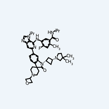 Cc1cc(F)c(Nc2nc(-c3ccc4c(c3)N([C@H]3C[C@@H](N5CCC(C)(C)C5)C3)C(=O)C43CCN(C4COC4)CC3)cc3ncn(C(C)C)c23)cc1C(=O)NC(C)C